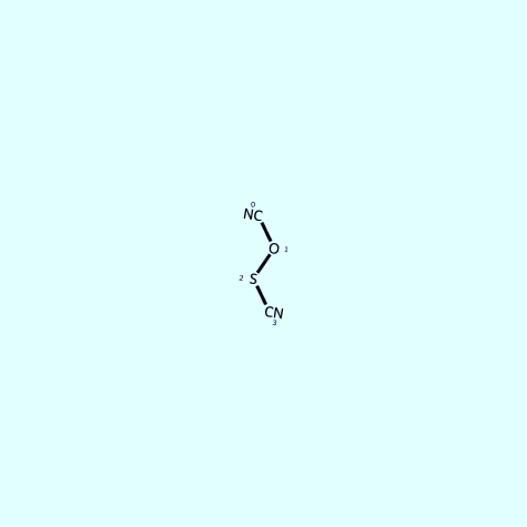 N#COSC#N